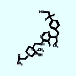 CCN(Cc1ccc(C(F)(F)CO)cc1)c1ncnc(NC[C@@H]2CCN(CC(N)=O)C[C@]2(C)O)c1F